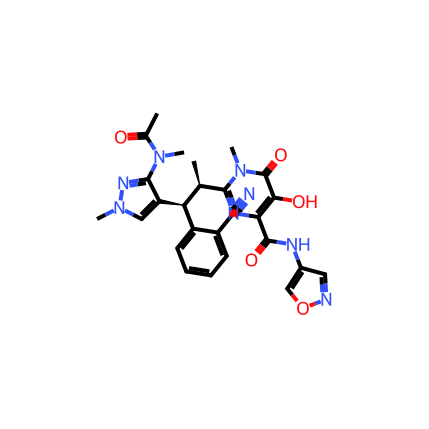 CC(=O)N(C)c1nn(C)cc1[C@H](c1ccccc1C#N)[C@@H](C)c1nc(C(=O)Nc2cnoc2)c(O)c(=O)n1C